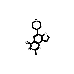 Cc1nc2c3c(c(C4CCOCC4)cc2c(=O)[nH]1)OCC3